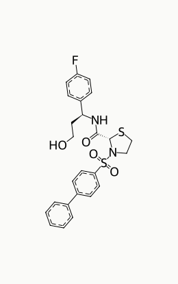 O=C(N[C@@H](CCO)c1ccc(F)cc1)[C@@H]1SCCN1S(=O)(=O)c1ccc(-c2ccccc2)cc1